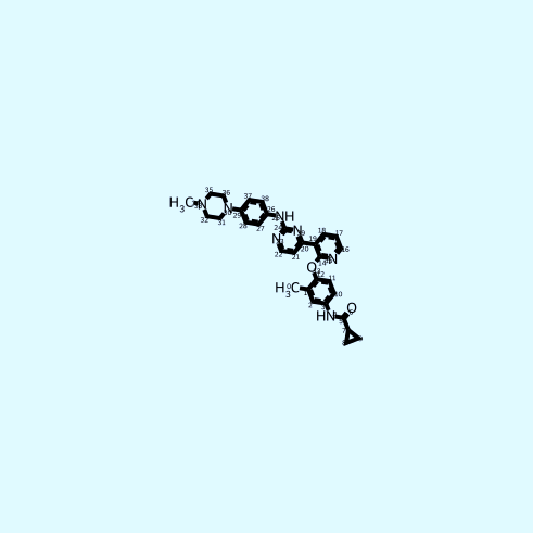 Cc1cc(NC(=O)C2CC2)ccc1Oc1ncccc1-c1ccnc(Nc2ccc(N3CCN(C)CC3)cc2)n1